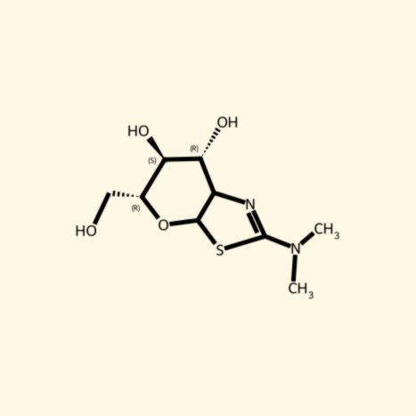 CN(C)C1=NC2C(O[C@H](CO)[C@@H](O)[C@@H]2O)S1